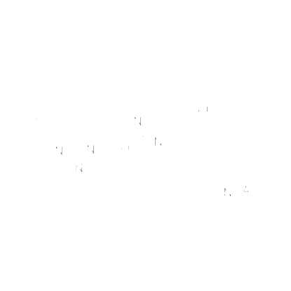 CC(=O)N1CCC[C@H](c2cc(C(F)(F)F)c3cn(-c4cccc([C@H](c5nncn5C)C5CCC5)c4)c(=O)n3c2)C1